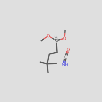 CO[SiH](CCC(C)(C)C)OC.N=C=O